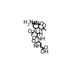 CC(=O)NC(C(=O)O)C(CC(N)=O)N(C(C)=O)C(C)C(=O)NC(CCC(=O)O)C(N)=O